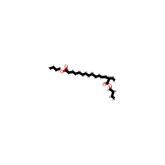 CCCCOC(=O)CCCCCCCCCCCCC(CC)C(=O)OCCCC